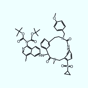 COc1ccc(CN2CCc3cccc(c3)C(Nc3ccc4c(N(C(=O)OC(C)(C)C)C(=O)OC(C)(C)C)ncc(F)c4c3)C(=O)N(C)Cc3cc(ccc3S(=O)(=O)C3CC3)NC2=O)cc1